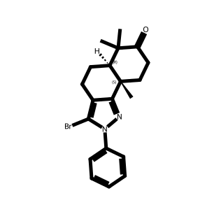 CC1(C)C(=O)CC[C@]2(C)c3nn(-c4ccccc4)c(Br)c3CC[C@@H]12